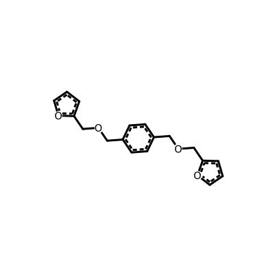 c1coc(COCc2ccc(COCc3ccco3)cc2)c1